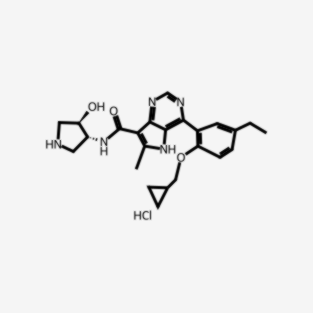 CCc1ccc(OCC2CC2)c(-c2ncnc3c(C(=O)N[C@@H]4CNC[C@H]4O)c(C)[nH]c23)c1.Cl